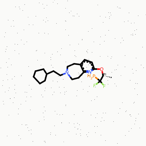 C[C@@H](Oc1ccc2c(n1)CCN(CCC1CCCCC1)CC2)C(F)(F)P